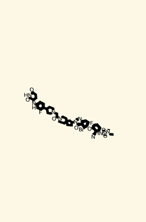 CCN(C)S(=O)(=O)Nc1ccc(F)c(Oc2ccc3ncn(C4CCC5(CCN(C(=O)CN6CCC(c7ccc(NC8CCC(=O)NC8=O)cc7F)CC6)CC5)C4)c(=O)c3c2Br)c1C#N